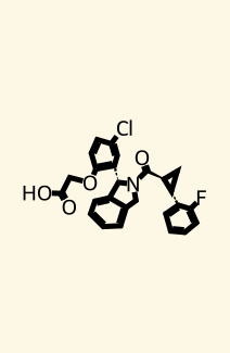 O=C(O)COc1ccc(Cl)cc1[C@H]1c2ccccc2CN1C(=O)[C@H]1C[C@@H]1c1ccccc1F